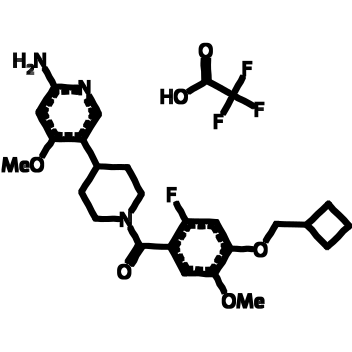 COc1cc(C(=O)N2CCC(c3cnc(N)cc3OC)CC2)c(F)cc1OCC1CCC1.O=C(O)C(F)(F)F